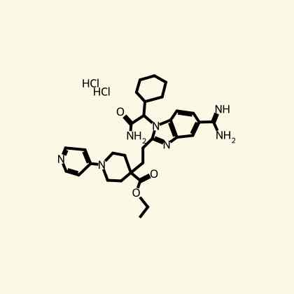 CCOC(=O)C1(CCc2nc3cc(C(=N)N)ccc3n2C(C(N)=O)C2CCCCC2)CCN(c2ccncc2)CC1.Cl.Cl